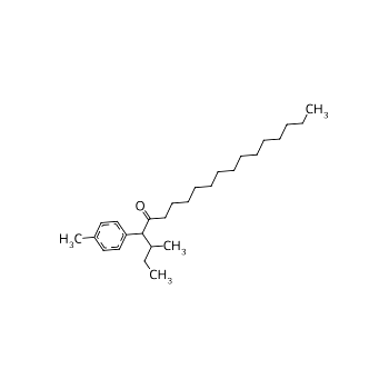 CCCCCCCCCCCCCCC(=O)C(c1ccc(C)cc1)C(C)CC